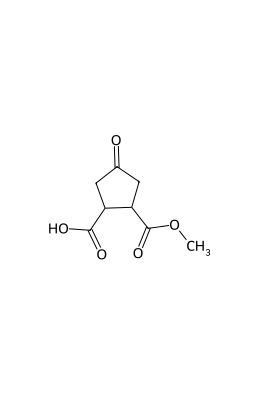 COC(=O)C1CC(=O)CC1C(=O)O